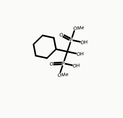 COP(=O)(O)C(O)(C1CCCCC1)P(=O)(O)OC